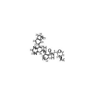 CC(=O)N1CCOC(CNC(=O)c2ccncc2Nc2cc(-c3ccc4ccn(C)c4c3)c3nccnc3c2)C1